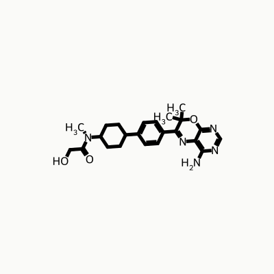 CN(C(=O)CO)C1CCC(c2ccc(C3=Nc4c(N)ncnc4OC3(C)C)cc2)CC1